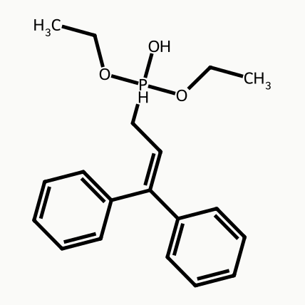 CCO[PH](O)(CC=C(c1ccccc1)c1ccccc1)OCC